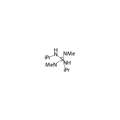 CN[Si](NC)(NC(C)C)NC(C)C